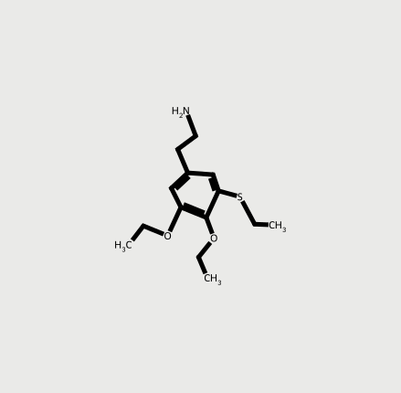 CCOc1cc(CCN)cc(SCC)c1OCC